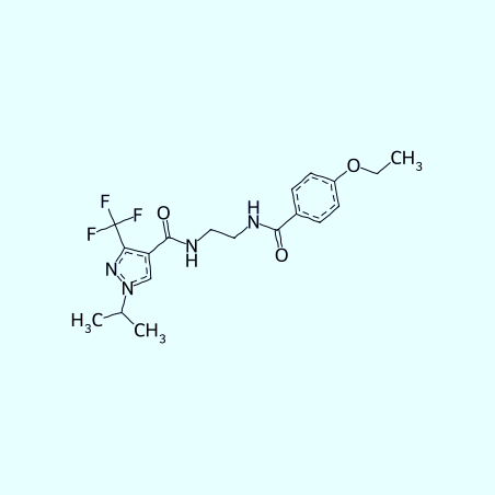 CCOc1ccc(C(=O)NCCNC(=O)c2cn(C(C)C)nc2C(F)(F)F)cc1